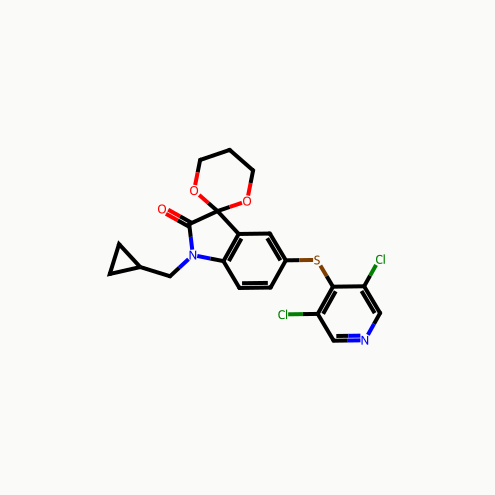 O=C1N(CC2CC2)c2ccc(Sc3c(Cl)cncc3Cl)cc2C12OCCCO2